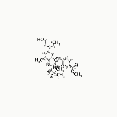 CCN(CCO)c1ccc(N=C(C(=O)Nc2cc(C(=O)OC)ccc2Cl)C(=O)C(C)(C)C)c(C)c1